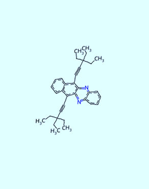 CCC(C#Cc1c2ccccc2c(C#CC(CC)(CC)CC)c2nc3ccccc3nc12)(CC)CC